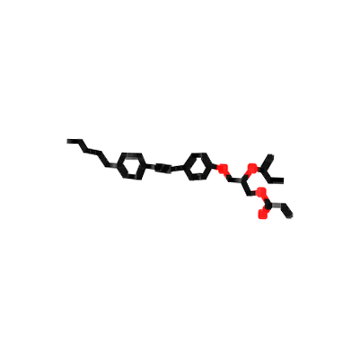 C=CC(=C)OC(COC(=O)C=C)COc1ccc(C#Cc2ccc(CCCCC)cc2)cc1